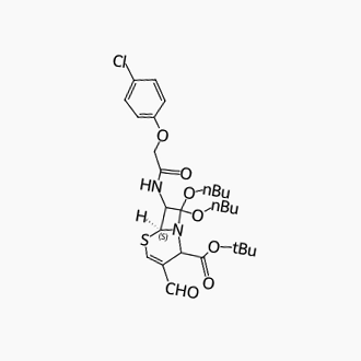 CCCCOC1(OCCCC)C(NC(=O)COc2ccc(Cl)cc2)[C@@H]2SC=C(C=O)C(C(=O)OC(C)(C)C)N21